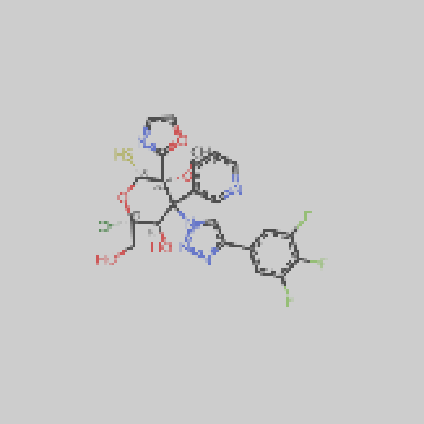 CO[C@@]1(c2ncco2)[C@@H](S)O[C@](Cl)(CO)[C@H](O)C1(c1cccnc1)n1cc(-c2cc(F)c(F)c(F)c2)nn1